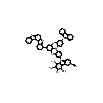 Bc1c(B)c(B)c2c(c1B)c1cc(C#N)ccc1n2-c1ccc2c(c1)Oc1cc(-c3cccc4c3oc3ccc5sc6ccccc6c5c34)cc3c1B2c1ccc(-n2c4ccccc4c4ccccc42)cc1O3